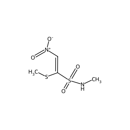 CNS(=O)(=O)C(=C[N+](=O)[O-])SC